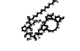 CC(C)[C@H](NC(=O)[C@@H]1CCCN1C(=O)[C@H](CC(=O)O)NC(=O)CCOCCOCCOCCN)C(=O)N=[S@](C)(=O)Cc1cc2nc(c1)OCCCOc1cc(F)ccc1-c1cc(ncc1F)N2